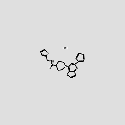 Cl.O=C(NCc1cccs1)C1CCN(c2cc(-c3ccccc3)nc3ccsc23)CC1